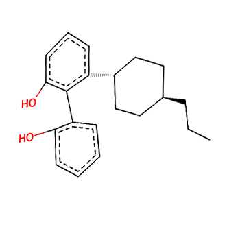 CCC[C@H]1CC[C@H](c2cccc(O)c2-c2ccccc2O)CC1